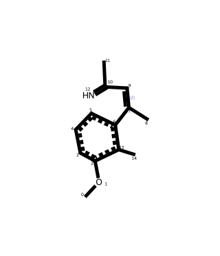 COc1cccc(/C(C)=C\C(C)=N)c1C